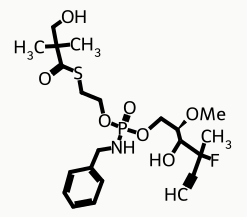 C#CC(C)(F)C(O)[C@@H](COP(=O)(NCc1ccccc1)OCCSC(=O)C(C)(C)CO)OC